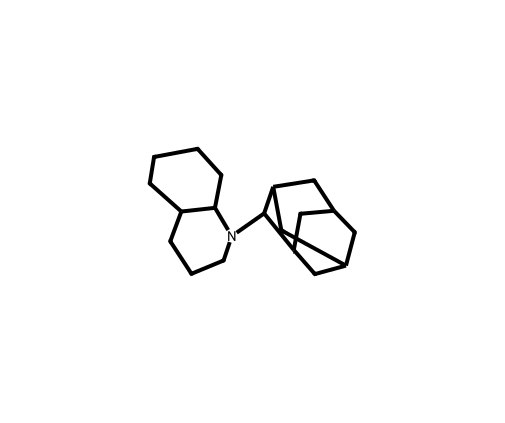 C1CCC2C(C1)CCCN2C1[C]2CC3CC(C2)CC1C3